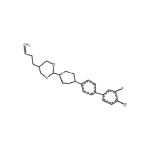 C=CCCC1COC(C2CCC(c3ccc(-c4ccc(Cl)c(F)c4)cc3)CC2)OC1